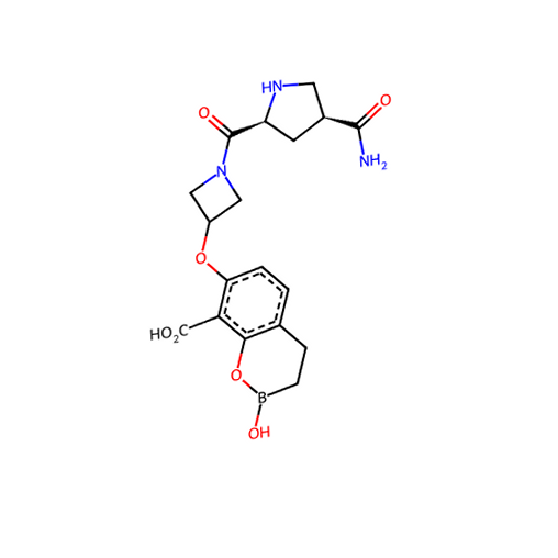 NC(=O)[C@@H]1CN[C@H](C(=O)N2CC(Oc3ccc4c(c3C(=O)O)OB(O)CC4)C2)C1